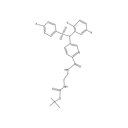 CC(C)(C)OC(=O)NCCNC(=O)c1ccc(C(c2cc(F)ccc2F)S(=O)(=O)c2ccc(F)cc2)cn1